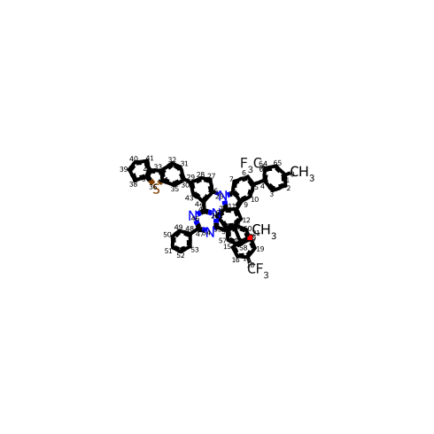 Cc1ccc(-c2ccc3c(c2)c2cc(-c4ccc(C(F)(F)F)cc4C)ccc2n3-c2ccc(-c3ccc4c(c3)sc3ccccc34)cc2-c2nc(-c3ccccc3)nc(-c3ccccc3)n2)c(C(F)(F)F)c1